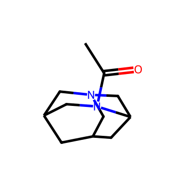 CC(=O)N1CC2CC3CC1CN(C3)C2